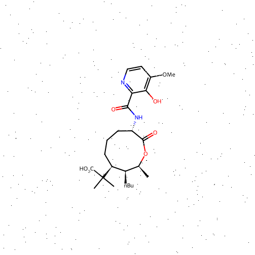 CCCC[C@@H]1[C@H](C)OC(=O)[C@@H](NC(=O)c2nccc(OC)c2O)CCC[C@@H]1C(C)(C)C(=O)O